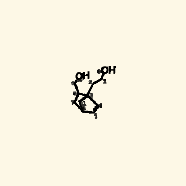 OCCC12C=CC(CC1CO)C2